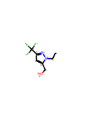 CCn1nc(C(F)(F)F)cc1CO